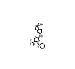 OB1OCc2cc(Nc3ncc(C(F)(F)F)c(NC4CCCCC4)n3)ccc21